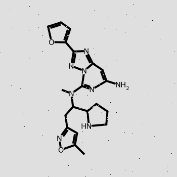 Cc1cc(CC(C2CCCN2)N(C)c2nc(N)cc3nc(-c4ccco4)nn23)no1